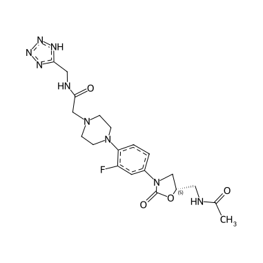 CC(=O)NC[C@H]1CN(c2ccc(N3CCN(CC(=O)NCc4nnn[nH]4)CC3)c(F)c2)C(=O)O1